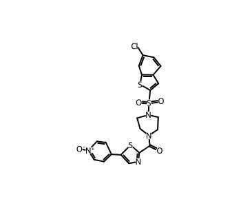 O=C(c1ncc(-c2cc[n+]([O-])cc2)s1)N1CCN(S(=O)(=O)c2cc3ccc(Cl)cc3s2)CC1